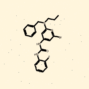 CCCN(Cc1ccccc1)c1cc(NC(=O)Nc2ccccc2F)cc(Br)n1